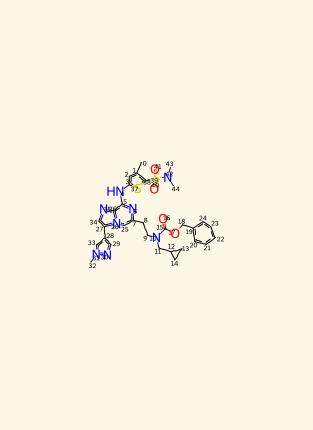 Cc1cc(Nc2nc(CCN(CC3CC3)C(=O)OCc3ccccc3)cn3c(-c4cnn(C)c4)cnc23)sc1S(=O)(=O)N(C)C